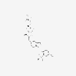 CN1CCC(F)(CN2C(=O)SC(=Cc3ccc4c(cnn4Cc4ccc(Cl)cc4C(F)(F)F)c3)C2=O)CC1